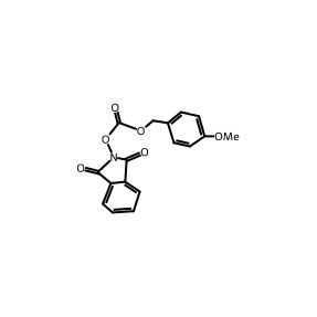 COc1ccc(COC(=O)ON2C(=O)c3ccccc3C2=O)cc1